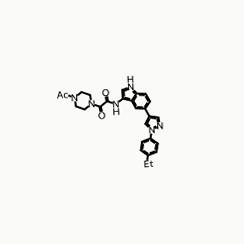 CCc1ccc(-n2cc(-c3ccc4[nH]cc(NC(=O)C(=O)N5CCN(C(C)=O)CC5)c4c3)cn2)cc1